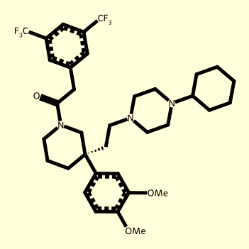 COc1ccc([C@@]2(CCN3CCN(C4CCCCC4)CC3)CCCN(C(=O)Cc3cc(C(F)(F)F)cc(C(F)(F)F)c3)C2)cc1OC